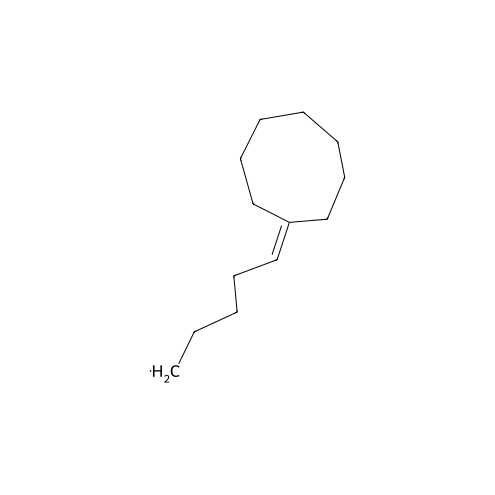 [CH2]CCCC=C1CCCCCCC1